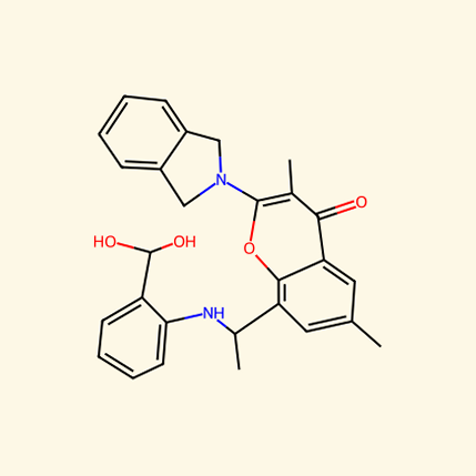 Cc1cc(C(C)Nc2ccccc2C(O)O)c2oc(N3Cc4ccccc4C3)c(C)c(=O)c2c1